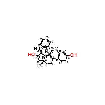 C=C1[C@H]2C3=C(CC[C@]2(C)C[C@@H]1O)c1ccc(O)cc1C[C@H]3c1ccccc1